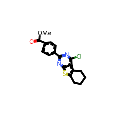 COC(=O)c1ccc(-c2nc(Cl)c3c4c(sc3n2)CCCC4)cc1